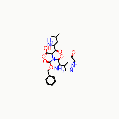 CC(C)CC(N)C(=O)C(C(=O)O)N(C(=O)OCc1ccccc1)C(=O)C(N)C(C)C.[N-]=[N+]=CC=O